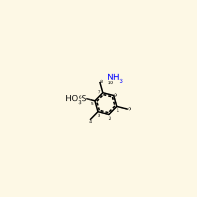 Cc1cc(C)c(S(=O)(=O)O)c(C)c1.N